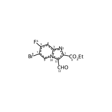 CCOC(=O)c1nc2cc(F)c(Br)cn2c1C=O